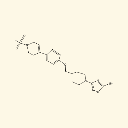 CC(C)c1nc(N2CCC(COc3ccc(C4=CCN(S(C)(=O)=O)CC4)cc3)CC2)no1